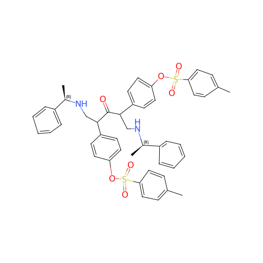 Cc1ccc(S(=O)(=O)Oc2ccc(C(CN[C@H](C)c3ccccc3)C(=O)C(CN[C@H](C)c3ccccc3)c3ccc(OS(=O)(=O)c4ccc(C)cc4)cc3)cc2)cc1